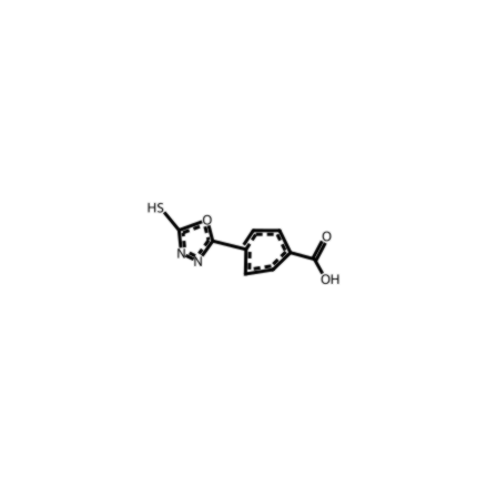 O=C(O)c1ccc(-c2nnc(S)o2)cc1